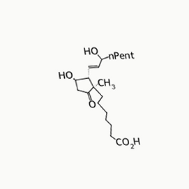 CCCCCC(O)C=C[C@H]1[C@H](O)CC(=O)[C@]1(C)CCCCCCC(=O)O